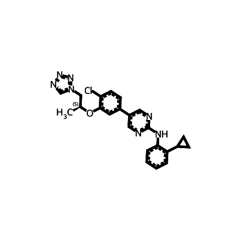 C[C@@H](Cn1cnnn1)Oc1cc(-c2cnc(Nc3ccccc3C3CC3)nc2)ccc1Cl